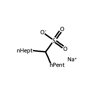 CCCCCCCC(CCCCC)S(=O)(=O)[O-].[Na+]